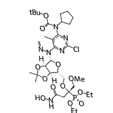 C=NN(c1nc(Cl)nc(N(C(=O)OC(C)(C)C)C2CCCC2)c1C)[C@@H]1O[C@H](CO[C@@](COC)(CC(=O)NO)P(=O)(OCC)OCC)[C@H]2OC(C)(C)O[C@H]21